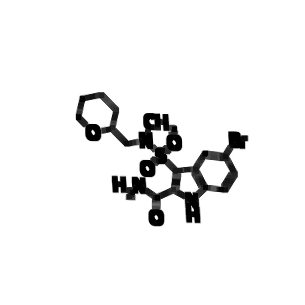 CN(CC1CCCCO1)S(=O)(=O)c1c(C(N)=O)[nH]c2ccc(Br)cc12